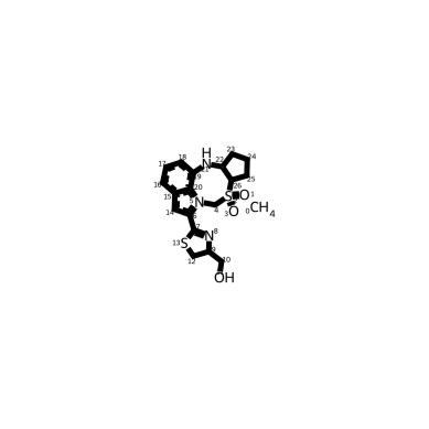 C.O=S1(=O)Cn2c(C3=NC(CO)CS3)cc3cccc(c32)NC2CCCC21